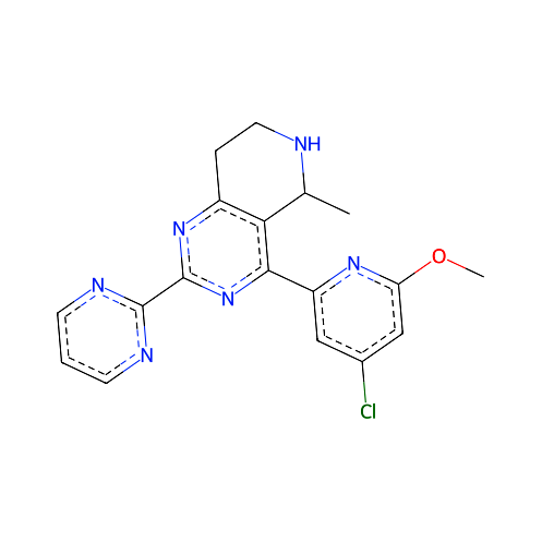 COc1cc(Cl)cc(-c2nc(-c3ncccn3)nc3c2C(C)NCC3)n1